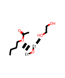 C=C.C=C.C=C.CCCCOC(C)=O.CCOCC.OCCO